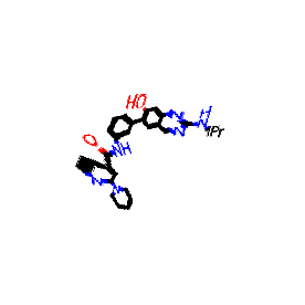 CC(C)Nc1ncc2cc(-c3cccc(NC(=O)c4ccnc(N5CCCCC5)c4)c3)c(O)cc2n1